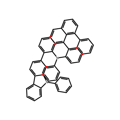 c1ccc(-c2cccc3cccc(-c4ccccc4N(c4ccccc4)c4ccccc4-c4ccc5c6ccccc6n(-c6ccccc6)c5c4)c23)cc1